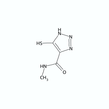 CNC(=O)c1nn[nH]c1S